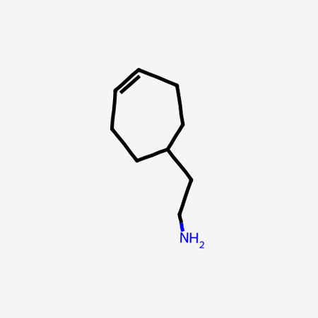 NCCC1CCC=CCC1